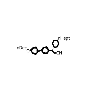 CCCCCCCCCCOc1ccc(-c2ccc(C(CC#N)[C@H]3CC[C@H](CCCCCCC)CC3)cc2)cc1